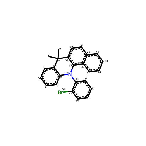 CC1(C)c2ccccc2N(c2ccccc2Br)c2c1ccc1ccccc21